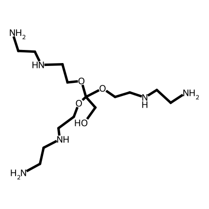 NCCNCCOC(CO)(OCCNCCN)OCCNCCN